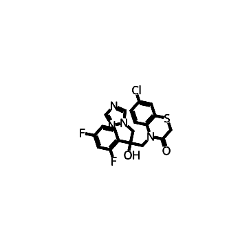 O=C1CSc2cc(Cl)ccc2N1CC(O)(Cn1cncn1)c1ccc(F)cc1F